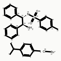 Cc1ccc(C(C)C)cc1.Cc1ccc(S(=O)(=O)[N-][C@@H](c2ccccc2)[C@@H](N)c2ccccc2)cc1.[Cl][Ru+]